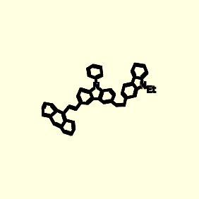 CCn1c2ccccc2c2ccc(/C=C\c3ccc4c(c3)c3cc(/C=C/c5c6ccccc6cc6ccccc56)ccc3n4-c3ccccc3)cc21